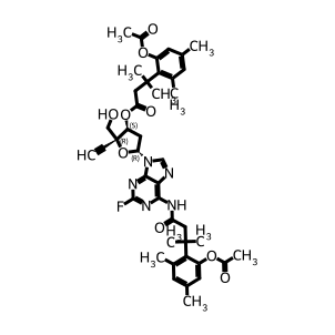 C#C[C@]1(CO)O[C@@H](n2cnc3c(NC(=O)CC(C)(C)c4c(C)cc(C)cc4OC(C)=O)nc(F)nc32)C[C@@H]1OC(=O)CC(C)(C)c1c(C)cc(C)cc1OC(C)=O